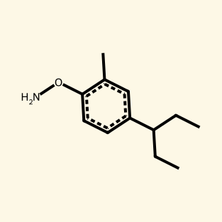 CCC(CC)c1ccc(ON)c(C)c1